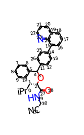 CC(C)C[C@H](OC(c1ccccc1)c1ccc(-c2cccc3cccnc23)cc1)C(=O)NCC#N